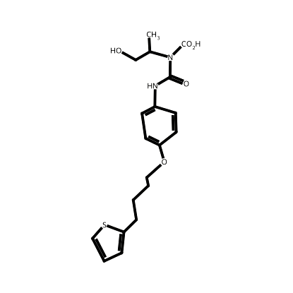 CC(CO)N(C(=O)O)C(=O)Nc1ccc(OCCCCc2cccs2)cc1